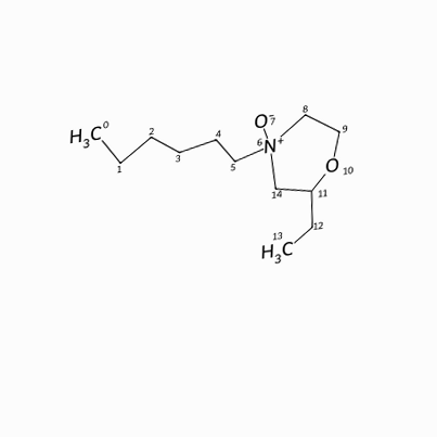 CCCCCC[N+]1([O-])CCOC(CC)C1